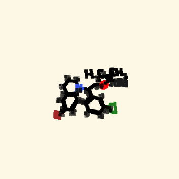 CC(C)(C)[Si](C)(C)OCC(c1cccc(Cl)c1)N1CCCc2cc(Br)ccc21